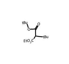 CCOC(=O)C(C(=O)OC(C)(C)C)C(C)(C)C